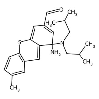 Cc1ccc2c(c1)C=C1C(=CC(C=O)=CC1(N)N(CC(C)C)CC(C)C)S2